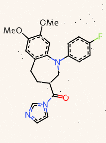 COc1cc2c(cc1OC)N(c1ccc(F)cc1)CC(C(=O)n1ccnc1)CC2